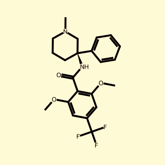 COc1cc(C(F)(F)F)cc(OC)c1C(=O)N[C@@]1(c2ccccc2)CCCN(C)C1